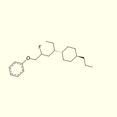 CCC[C@H]1CC[C@H](C(CC)CC(F)COc2ccccc2)CC1